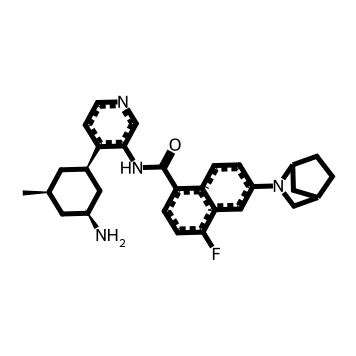 C[C@@H]1C[C@H](N)C[C@H](c2ccncc2NC(=O)c2ccc(F)c3cc(N4CC5CCC4C5)ccc23)C1